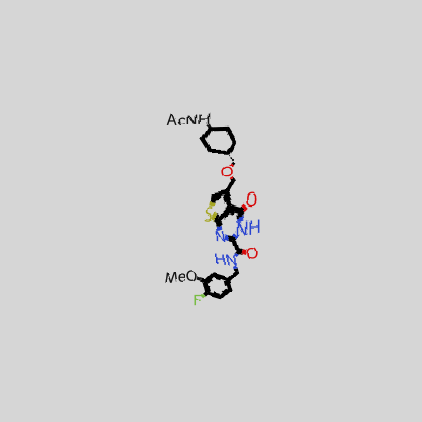 COc1cc(CNC(=O)c2nc3scc(COC[C@H]4CC[C@H](NC(C)=O)CC4)c3c(=O)[nH]2)ccc1F